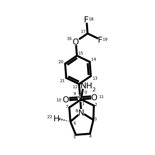 NC1CC2CC[C@@H](C1)N2S(=O)(=O)c1ccc(OC(F)F)cc1